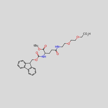 CC(C)(C)OC(=O)C(CCC(=O)NCCOCCOCC(=O)O)NC(=O)OCC1c2ccccc2-c2ccccc21